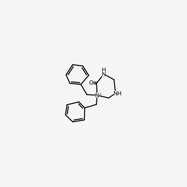 O=C1NCNC[N+]1(Cc1ccccc1)Cc1ccccc1